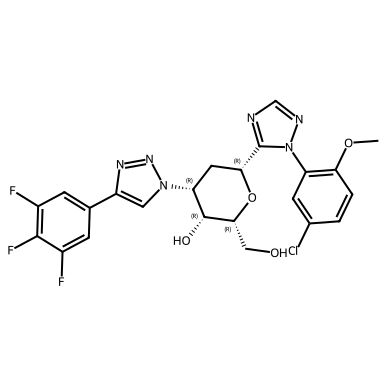 COc1ccc(Cl)cc1-n1ncnc1[C@H]1C[C@@H](n2cc(-c3cc(F)c(F)c(F)c3)nn2)[C@@H](O)[C@@H](CO)O1